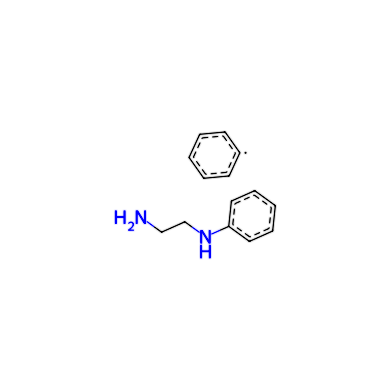 NCCNc1ccccc1.[c]1ccccc1